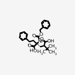 CC(C)(C)C(C[C@](CCc1ccccc1)(NC(=O)OCc1ccccc1)C(=O)O)C(=O)O